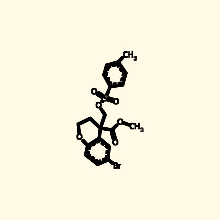 COC(=O)C1(COS(=O)(=O)c2ccc(C)cc2)CCOc2ccc(Br)cc21